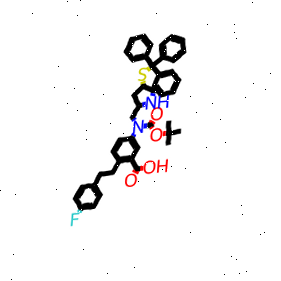 CC(C)(C)OC(=O)N(CC1CC(SC(c2ccccc2)(c2ccccc2)c2ccccc2)CN1)c1ccc(CCc2ccc(F)cc2)c(C(=O)O)c1